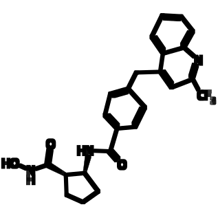 O=C(N[C@H]1CCC[C@H]1C(=O)NO)c1ccc(Cc2cc(C(F)(F)F)nc3ccccc23)cc1